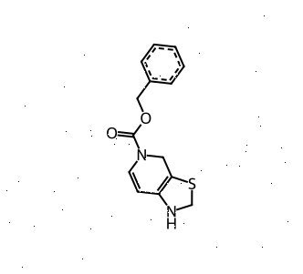 O=C(OCc1ccccc1)N1C=CC2=C(C1)SCN2